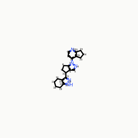 c1cc(-n2ncc3c2CCC3c2n[nH]c3c2CCCC3)c2c(n1)CCC2